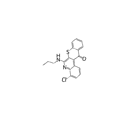 CCCNc1nc2c(Cl)cccc2c2c(=O)c3ccccc3sc12